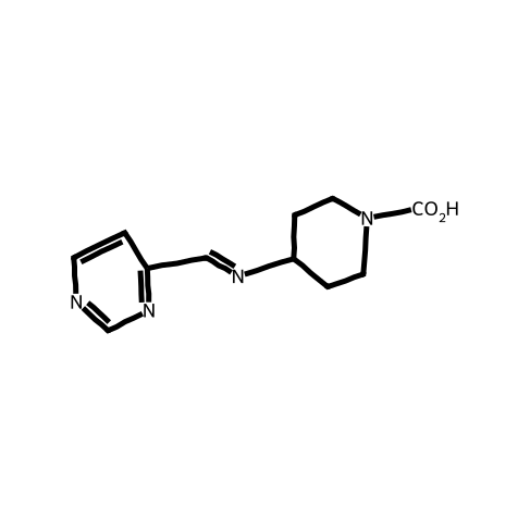 O=C(O)N1CCC(/N=C/c2ccncn2)CC1